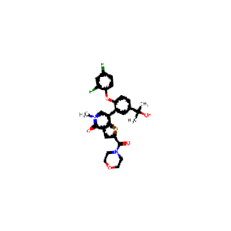 Cn1cc(-c2cc(C(C)(C)O)ccc2Oc2ccc(F)cc2F)c2sc(C(=O)N3CCOCC3)cc2c1=O